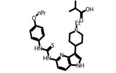 CC(C)C(=O)O.CCCOc1ccc(NC(=S)Nc2ccc3[nH]cc(C4CCN(CC)CC4)c3n2)cc1